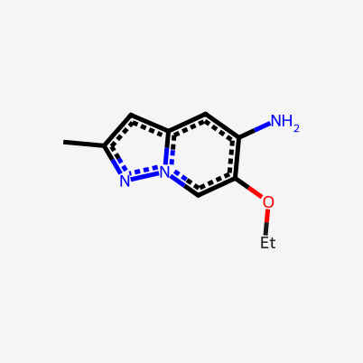 CCOc1cn2nc(C)cc2cc1N